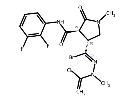 C=C(Cl)N(C)/N=C(\Br)[C@H]1CN(C)C(=O)[C@@H]1C(=O)Nc1cccc(F)c1F